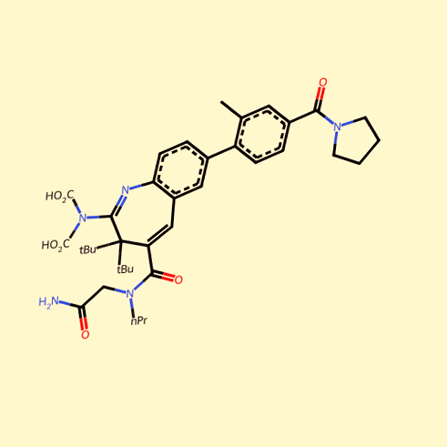 CCCN(CC(N)=O)C(=O)C1=Cc2cc(-c3ccc(C(=O)N4CCCC4)cc3C)ccc2N=C(N(C(=O)O)C(=O)O)C1(C(C)(C)C)C(C)(C)C